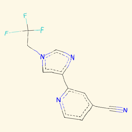 N#Cc1ccnc(-c2cn(CC(F)(F)F)cn2)c1